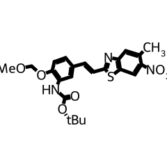 COCOc1ccc(/C=C/c2nc3cc(C)c([N+](=O)[O-])cc3s2)cc1NC(=O)OC(C)(C)C